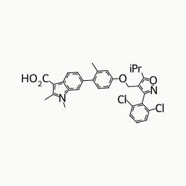 Cc1cc(OCc2c(-c3c(Cl)cccc3Cl)noc2C(C)C)ccc1-c1ccc2c(C(=O)O)c(C)n(C)c2c1